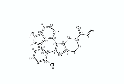 C=CC(=O)N1CCn2nc(-c3ccccc3Cl)c(-c3ccnc4[nH]cc(C)c34)c2C1